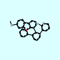 COc1ccc2c(c1)[nH]c1c(-c3c(-c4ccccc4)cccc3-c3cccnc3F)cccc12